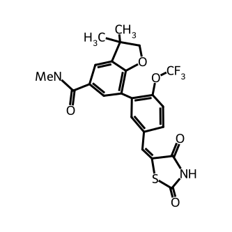 CNC(=O)c1cc(-c2cc(/C=C3/SC(=O)NC3=O)ccc2OC(F)(F)F)c2c(c1)C(C)(C)CO2